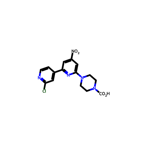 O=C(O)N1CCN(c2cc([N+](=O)[O-])cc(-c3ccnc(Cl)c3)n2)CC1